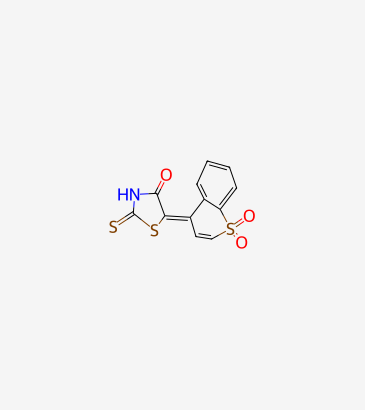 O=C1NC(=S)S/C1=C1\C=CS(=O)(=O)c2ccccc21